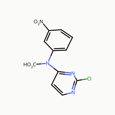 O=C(O)N(c1cccc([N+](=O)[O-])c1)c1ccnc(Cl)n1